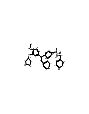 COc1ccc(C(Cc2ccncc2)c2ccc(NS(=O)(=O)Cc3ccccc3)cc2)cc1OC1CCCC1